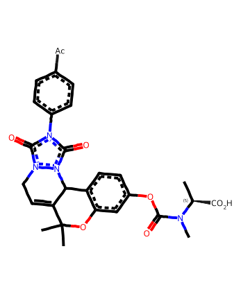 CC(=O)c1ccc(-n2c(=O)n3n(c2=O)C2C(=CC3)C(C)(C)Oc3cc(OC(=O)N(C)[C@@H](C)C(=O)O)ccc32)cc1